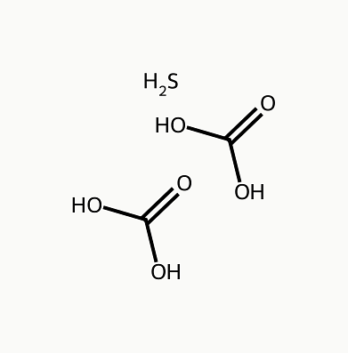 O=C(O)O.O=C(O)O.S